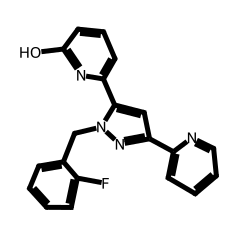 Oc1cccc(-c2cc(-c3ccccn3)nn2Cc2ccccc2F)n1